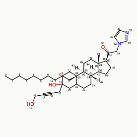 CCCCCCCCCC[C@]12CCC(O)(CC#CCO)CC1CC[C@@H]1[C@@H]2CC[C@]2(C)[C@@H](C(=O)Cn3ccnc3)CC[C@@H]12